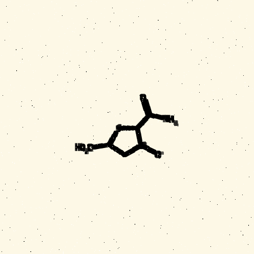 NC(=O)C1SC(C(=O)O)C[S+]1[O-]